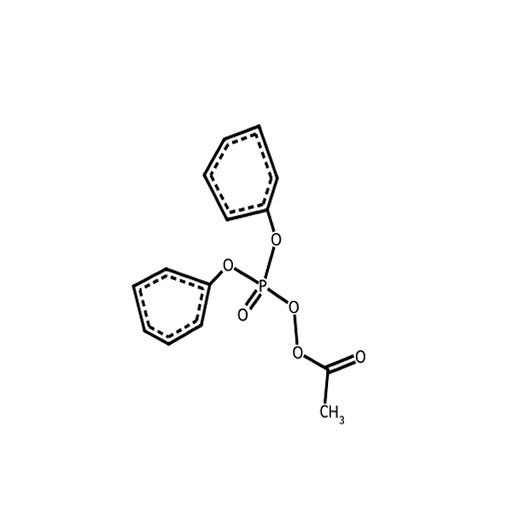 CC(=O)OOP(=O)(Oc1ccccc1)Oc1ccccc1